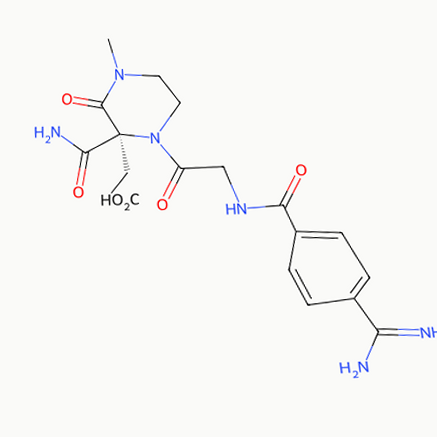 CN1CCN(C(=O)CNC(=O)c2ccc(C(=N)N)cc2)[C@@](CC(=O)O)(C(N)=O)C1=O